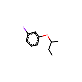 CCC(C)Oc1c[c]cc(I)c1